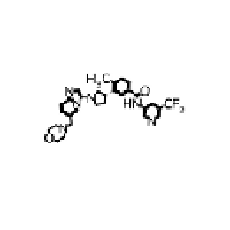 Cc1ccc(C(=O)Nc2cncc(C(F)(F)F)c2)cc1[C@@H]1CCN(c2cnc3ccc(CN4CCOCC4)cn23)C1